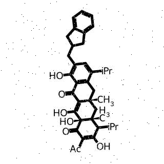 CC(=O)C1=C(O)C(C(C)C)[C@@]2(C)C[C@@]3(C)Cc4c(C(C)C)cc(CC5Cc6ccccc6C5)c(O)c4C(=O)C3=C(O)[C@@]2(O)C1=O